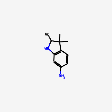 CC(=O)C1Nc2cc(N)ccc2C1(C)C